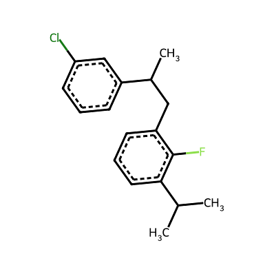 CC(C)c1cccc(CC(C)c2cccc(Cl)c2)c1F